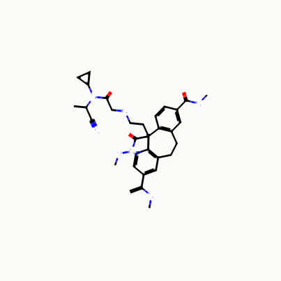 C=C(NC)c1ccc2c(c1)CCc1cc(C(=O)NC)ccc1C2(CCNCC(=O)N(C(C)C#N)C1CC1)C(=O)NNC